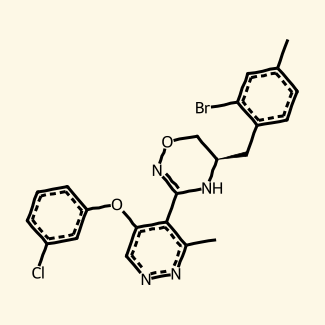 Cc1ccc(C[C@@H]2CON=C(c3c(Oc4cccc(Cl)c4)cnnc3C)N2)c(Br)c1